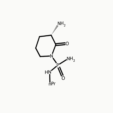 CCCNP(N)(=O)N1CCC[C@H](N)C1=O